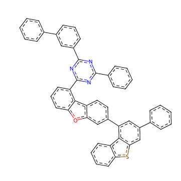 c1ccc(-c2cccc(-c3nc(-c4ccccc4)nc(-c4cccc5oc6cc(-c7cc(-c8ccccc8)cc8sc9ccccc9c78)ccc6c45)n3)c2)cc1